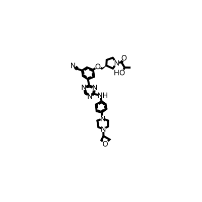 CC(O)C(=O)N1CC[C@H](COc2cc(C#N)cc(-c3ncnc(Nc4ccc(N5CCN(C6COC6)CC5)cc4)n3)c2)C1